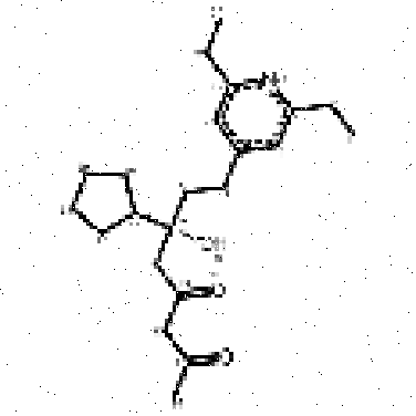 CCc1cc(CC[C@@](O)(CC(=O)CC(C)=O)C2CCCC2)cc(CC)n1